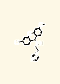 COc1ccc2c(c1)Oc1cc(Cl)ccc1C2NCCn1ccnc1